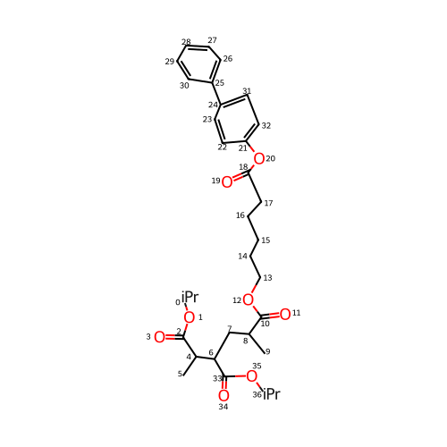 CC(C)OC(=O)C(C)C(CC(C)C(=O)OCCCCCC(=O)Oc1ccc(-c2ccccc2)cc1)C(=O)OC(C)C